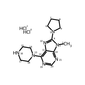 Cl.Cl.Cn1c(N2CCCC2)nc2c(N3CCNCC3)ncnc21